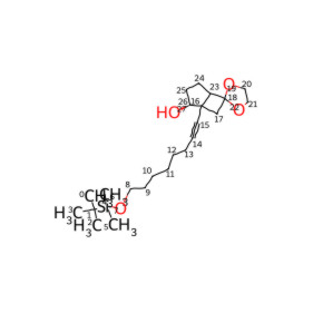 CC(C)(C)[Si](C)(C)OCCCCCCC#CC12CC3(OCCO3)C1CC[C@@H]2O